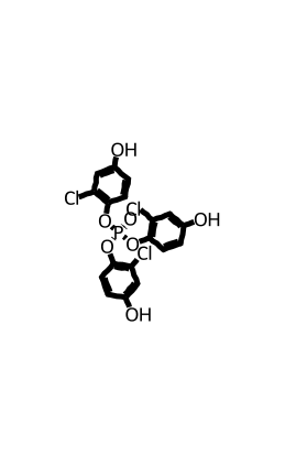 O=P(Oc1ccc(O)cc1Cl)(Oc1ccc(O)cc1Cl)Oc1ccc(O)cc1Cl